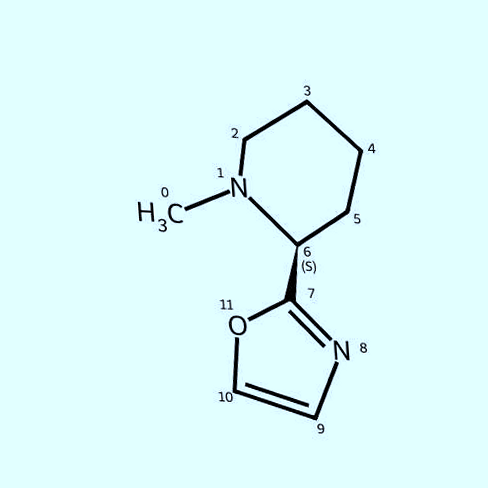 CN1CCCC[C@H]1c1ncco1